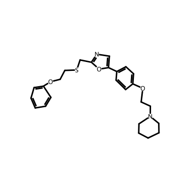 c1ccc(OCCSCc2ncc(-c3ccc(OCCN4CCCCC4)cc3)o2)cc1